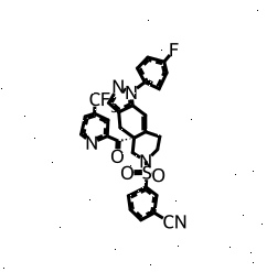 N#Cc1cccc(S(=O)(=O)N2CCC3=Cc4c(cnn4-c4ccc(F)cc4)C[C@]3(C(=O)c3cc(C(F)(F)F)ccn3)C2)c1